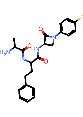 CC(N)C(=O)NC(CCc1ccccc1)C(=O)N[C@@H]1CN(c2ccc(F)cc2)C1=O